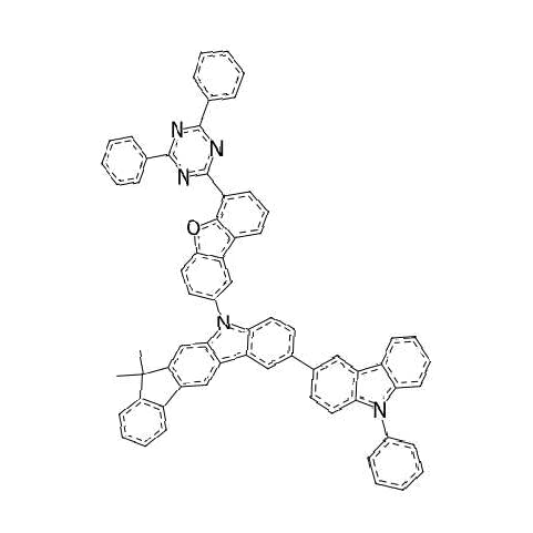 CC1(C)c2ccccc2-c2cc3c4cc(-c5ccc6c(c5)c5ccccc5n6-c5ccccc5)ccc4n(-c4ccc5oc6c(-c7nc(-c8ccccc8)nc(-c8ccccc8)n7)cccc6c5c4)c3cc21